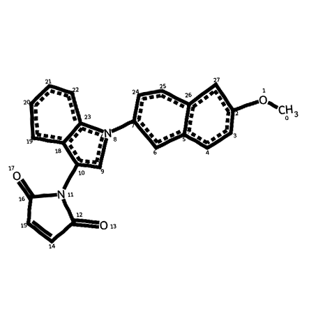 COc1ccc2cc(-n3cc(N4C(=O)C=CC4=O)c4ccccc43)ccc2c1